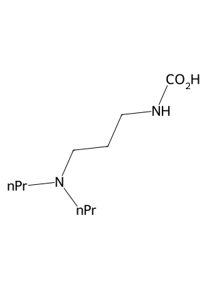 CCCN(CCC)CCCNC(=O)O